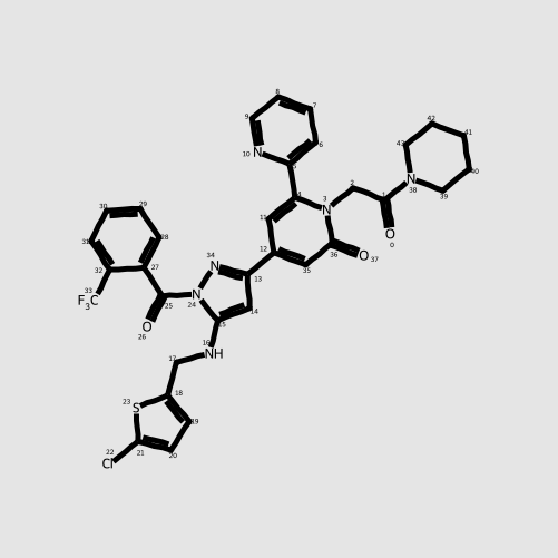 O=C(Cn1c(-c2ccccn2)cc(-c2cc(NCc3ccc(Cl)s3)n(C(=O)c3ccccc3C(F)(F)F)n2)cc1=O)N1CCCCC1